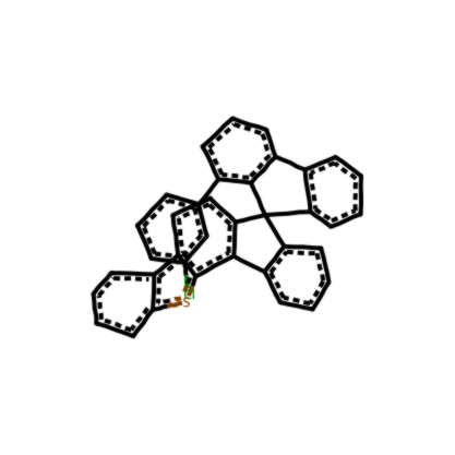 Clc1cccc(-c2cccc3c2C2(c4ccccc4-3)c3ccccc3-c3c2ccc2c3sc3ccccc32)c1